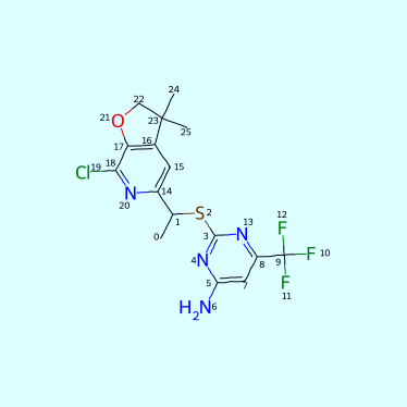 CC(Sc1nc(N)cc(C(F)(F)F)n1)c1cc2c(c(Cl)n1)OCC2(C)C